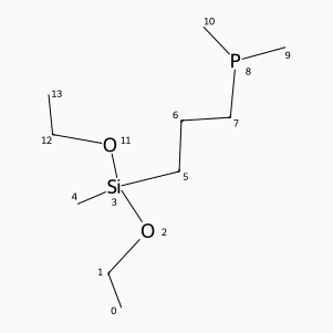 CCO[Si](C)(CCCP(C)C)OCC